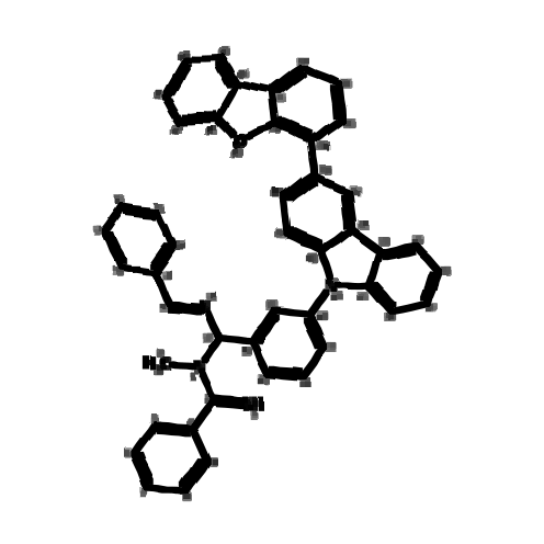 CN(C(=N)c1ccccc1)C(/N=C/c1ccccc1)c1cccc(-n2c3ccccc3c3cc(-c4cccc5c4oc4ccccc45)ccc32)c1